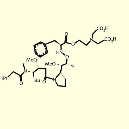 CC[C@H](C)[C@@H]([C@@H](CC(=O)N1CCC[C@H]1[C@H](OC)[C@@H](C)ON[C@@H](Cc1ccccc1)C(=O)OCCN(CC(=O)O)CC(=O)O)OC)N(C)C(=O)CC(C)C